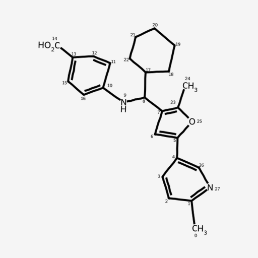 Cc1ccc(-c2cc(C(Nc3ccc(C(=O)O)cc3)C3CCCCC3)c(C)o2)cn1